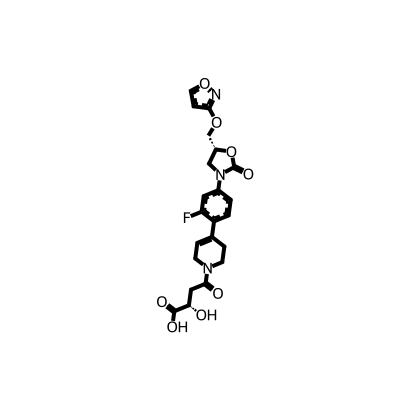 O=C(O)[C@@H](O)CC(=O)N1CC=C(c2ccc(N3C[C@H](COc4ccon4)OC3=O)cc2F)CC1